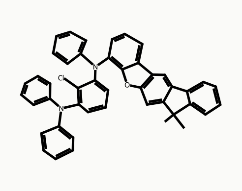 CC1(C)c2ccccc2-c2cc3c(cc21)oc1c(N(c2ccccc2)c2cccc(N(c4ccccc4)c4ccccc4)c2Cl)cccc13